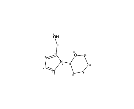 OCc1ccnn1C1CCCCO1